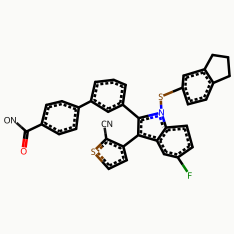 N#Cc1sccc1-c1c(-c2cccc(-c3ccc(C(=O)N=O)cc3)c2)n(Sc2ccc3c(c2)CCC3)c2ccc(F)cc12